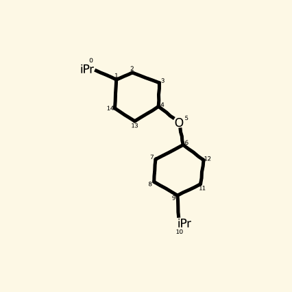 CC(C)C1CCC(OC2CCC(C(C)C)CC2)CC1